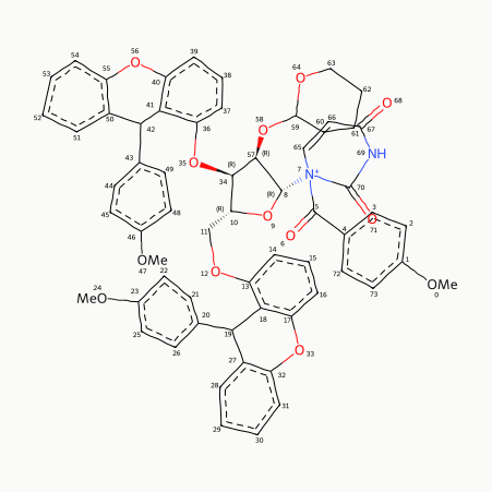 COc1ccc(C(=O)[N+]2([C@@H]3O[C@H](COc4cccc5c4C(c4ccc(OC)cc4)c4ccccc4O5)[C@@H](Oc4cccc5c4C(c4ccc(OC)cc4)c4ccccc4O5)[C@H]3OC3CCCCO3)C=CC(=O)NC2=O)cc1